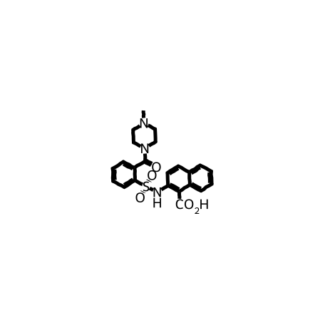 CN1CCN(C(=O)c2ccccc2S(=O)(=O)Nc2ccc3ccccc3c2C(=O)O)CC1